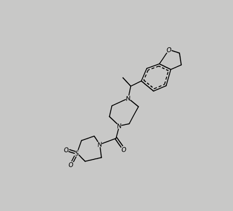 CC(c1ccc2c(c1)OCC2)N1CCN(C(=O)N2CCS(=O)(=O)CC2)CC1